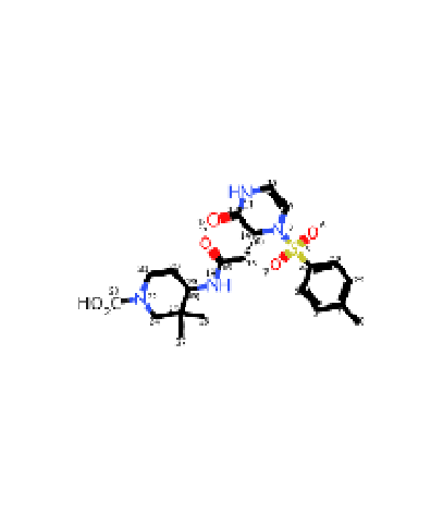 Cc1ccc(S(=O)(=O)N2C=CNC(=O)[C@H]2CC(=O)N[C@@H]2CCN(C(=O)O)CC2(C)C)cc1